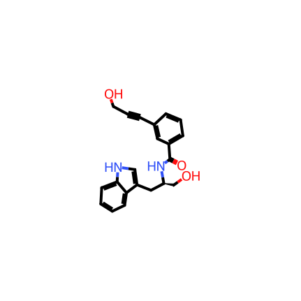 O=C(N[C@@H](CO)Cc1c[nH]c2ccccc12)c1cccc(C#CCO)c1